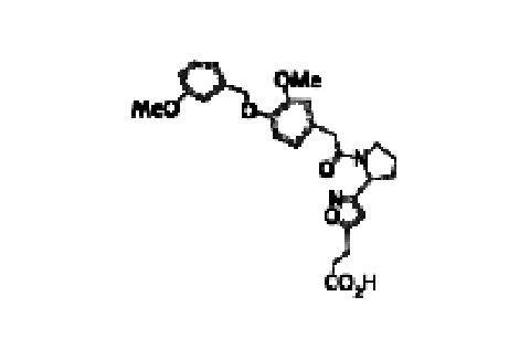 COc1cccc(COc2ccc(CC(=O)N3CCCC3c3cc(CCC(=O)O)on3)cc2OC)c1